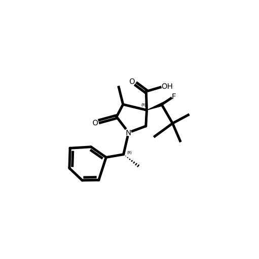 CC1C(=O)N([C@H](C)c2ccccc2)C[C@]1(C(=O)O)C(F)C(C)(C)C